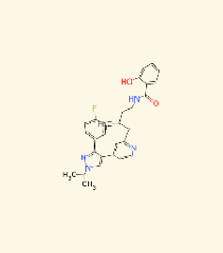 CC(CCNC(=O)c1ccccc1O)Cc1cc(-c2cn(C(C)C)nc2-c2ccc(F)cc2)ccn1